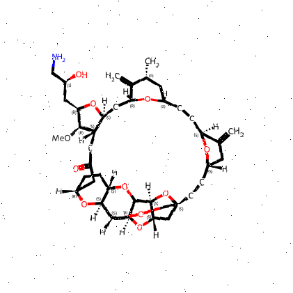 C=C1C[C@@H]2CC[C@@]34C[C@@H]5O[C@@H]6C(O[C@H]7CC[C@H](CC(=O)C[C@@H]8[C@@H](OC)[C@@H](C[C@H](O)CN)O[C@H]8C[C@H]8O[C@@H](CC[C@@H]1O2)C[C@@H](C)C8=C)O[C@@H]7[C@@H]6O3)[C@H]5O4